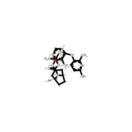 Cc1nc(S)ccc1Oc1ncnc(OC2CC3CC[C@@H](C2)N3C(=O)OC(C)C)c1C